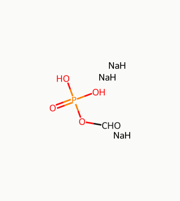 O=COP(=O)(O)O.[NaH].[NaH].[NaH]